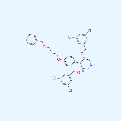 Clc1cc(Cl)cc(CO[C@H]2CNC[C@@H](OCc3cc(Cl)cc(Cl)c3)C2c2ccc(OCCCOCc3ccccc3)cc2)c1